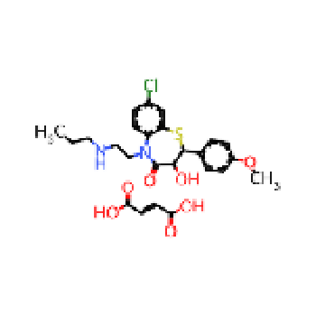 CCCNCCN1C(=O)C(O)C(c2ccc(OC)cc2)Sc2cc(Cl)ccc21.O=C(O)C=CC(=O)O